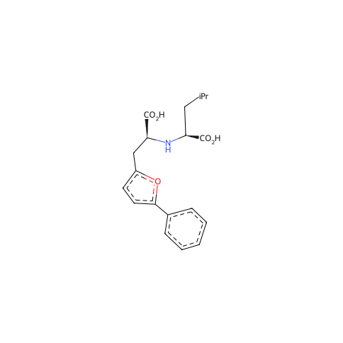 CC(C)C[C@H](N[C@@H](Cc1ccc(-c2ccccc2)o1)C(=O)O)C(=O)O